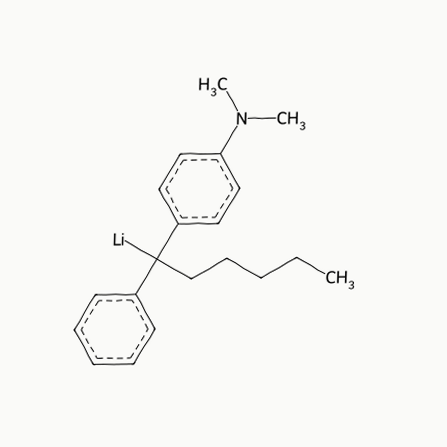 [Li][C](CCCCC)(c1ccccc1)c1ccc(N(C)C)cc1